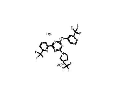 Br.O[C@@]1(C(F)(F)F)CCN(c2nc(Nc3ccnc(C(F)(F)F)c3)nc(-c3cccc(C(F)(F)F)n3)n2)C1